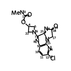 CNC(=O)OC1CN(C2=Nc3ccc(Cl)nc3N3CC(=O)N=C23)C1